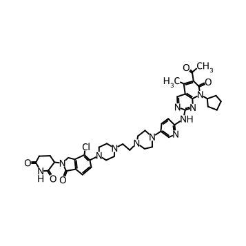 CC(=O)c1c(C)c2cnc(Nc3ccc(N4CCN(CCN5CCN(c6ccc7c(c6Cl)CN(C6CCC(=O)NC6=O)C7=O)CC5)CC4)cn3)nc2n(C2CCCC2)c1=O